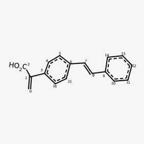 C=C(C(=O)O)c1ccc(/C=C/c2ccccc2)cc1